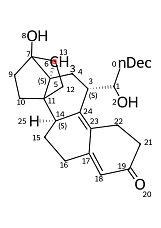 CCCCCCCCCCC(O)[C@H]1C[C@]2(C)C3(O)CCC2(CC3)[C@@H]2CCC3=CC(=O)CCC3=C21